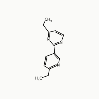 CCc1ccc(-c2nccc(CC)n2)cn1